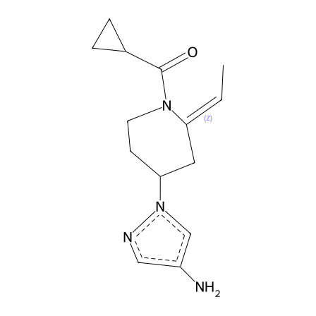 C/C=C1/CC(n2cc(N)cn2)CCN1C(=O)C1CC1